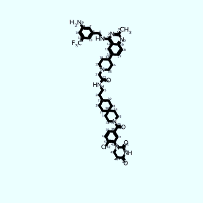 Cc1nc(NCc2cc(N)cc(C(F)(F)F)c2)c2cc(C3CCN(CC(=O)NCCC4CCC5(CC4)CCN(C(=O)c4ccc(Cl)c(N6CCC(=O)NC6=O)c4)CC5)CC3)ccc2n1